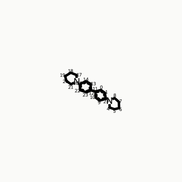 c1cc(N2CCCCC2)ccc1-c1ccc(N2CCCCC2)cc1